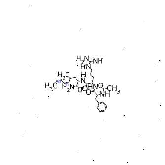 C=C(/C=C\C=C/C)CC(NC(=O)C(CCCNC(=N)N)NC(=O)C(Cc1ccccc1)NC(C)=O)C(N)=O